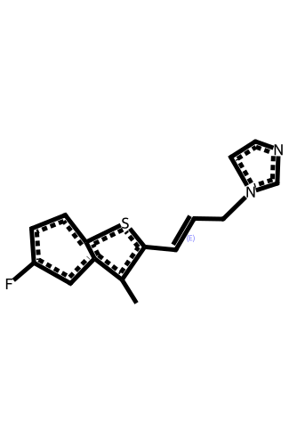 Cc1c(/C=C/Cn2ccnc2)sc2ccc(F)cc12